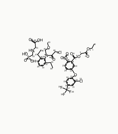 CCOC(=O)COC(=O)c1cc(Oc2ccc(C(F)(F)F)cc2Cl)ccc1[N+](=O)[O-].CCc1cccc(CC)c1N(COC)C(=O)CCl.O=C(O)CNCP(=O)(O)O